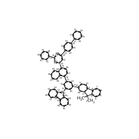 CC1(C)c2ccccc2-c2ccc(-c3cc(-c4ccc(-c5cc(-c6ccc(-c7ccccc7)cc6)nc(-c6ccccc6)n5)c5ccccc45)cc(-n4c5ccccc5c5ccccc54)c3)cc21